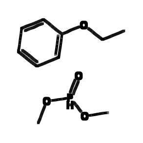 CCOc1ccccc1.CO[PH](=O)OC